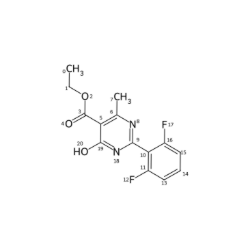 CCOC(=O)c1c(C)nc(-c2c(F)cccc2F)nc1O